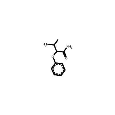 CC(N)C(Oc1ccccc1)C(N)=O